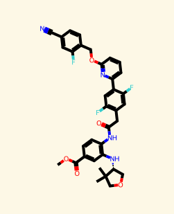 COC(=O)c1ccc(NC(=O)Cc2cc(F)c(-c3cccc(OCc4ccc(C#N)cc4F)n3)cc2F)c(N[C@@H]2COCC2(C)C)c1